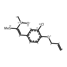 C=CCOc1ccc(C=C(SC)[S+](C)[O-])cc1Cl